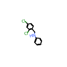 Clc1ccc(CNc2cc[c]cc2)c(Cl)c1